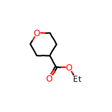 [CH2]COC(=O)C1CCOCC1